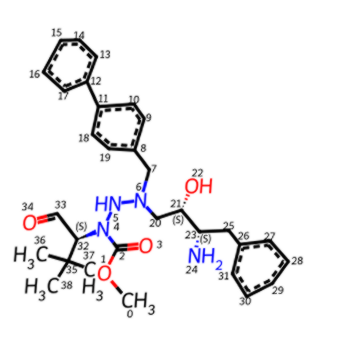 COC(=O)N(NN(Cc1ccc(-c2ccccc2)cc1)C[C@H](O)[C@@H](N)Cc1ccccc1)[C@H](C=O)C(C)(C)C